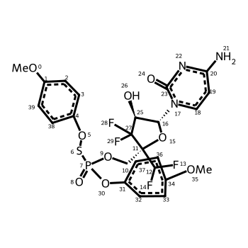 COc1ccc(OSP(=O)(OC[C@@]2(C(F)F)O[C@@H](n3ccc(N)nc3=O)[C@H](O)C2(F)F)Oc2ccc(OC)cc2)cc1